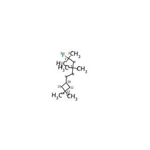 CC(C)(F)CC(C)(C)CCC1CC(C)(C)C1